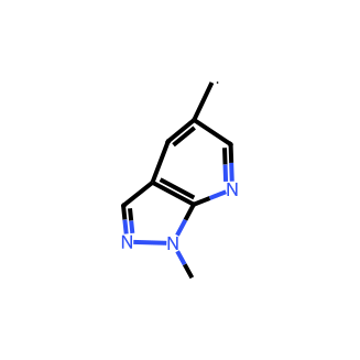 [CH2]c1cnc2c(cnn2C)c1